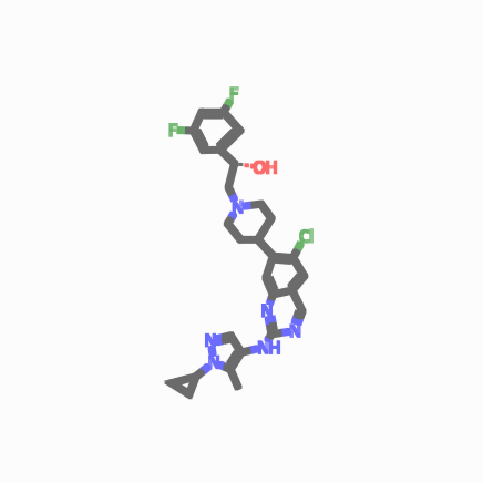 Cc1c(Nc2ncc3cc(Cl)c(C4CCN(C[C@@H](O)c5cc(F)cc(F)c5)CC4)cc3n2)cnn1C1CC1